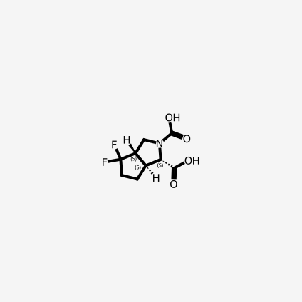 O=C(O)[C@@H]1[C@H]2CCC(F)(F)[C@@H]2CN1C(=O)O